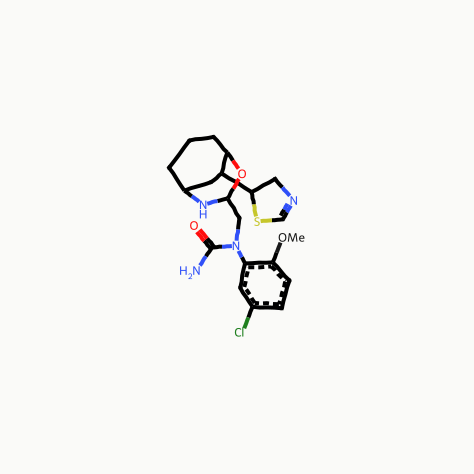 COc1ccc(Cl)cc1N(CC1NC2CCCC(O1)C(C1CN=CS1)C2)C(N)=O